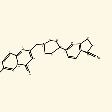 Cc1ccc2nc(CN3CCC(c4ccc5c(c4)CCC5=O)CC3)cc(=O)n2c1